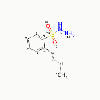 CCCCc1ccccc1S(=O)(=O)NN